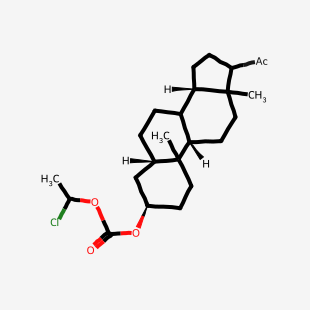 CC(=O)C1CC[C@H]2C3CC[C@H]4C[C@H](OC(=O)OC(C)Cl)CCC4(C)[C@H]3CCC12C